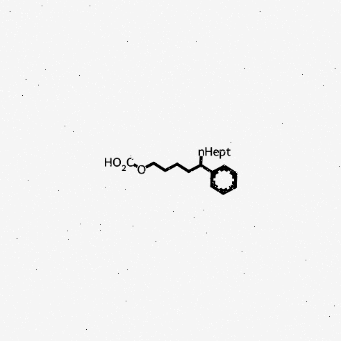 CCCCCCCC(CCCCOC(=O)O)c1ccccc1